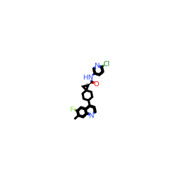 Cc1cc2nccc(C3CCC4(CC3)C[C@H]4C(=O)Nc3ccc(Cl)nc3)c2cc1F